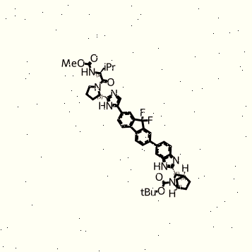 COC(=O)N[C@H](C(=O)N1CCC[C@H]1c1ncc(-c2ccc3c(c2)C(F)(F)c2cc(-c4ccc5nc([C@@H]6[C@H]7CC[C@H](C7)N6C(=O)OC(C)(C)C)[nH]c5c4)ccc2-3)[nH]1)C(C)C